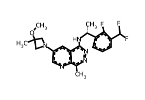 COC1(C)CN(c2cnc3c(C)nnc(N[C@H](C)c4cccc(C(F)F)c4F)c3c2)C1